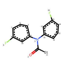 CCC(=O)N(c1cccc(F)c1)c1cccc(F)c1